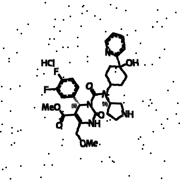 COCC1=C(C(=O)OC)[C@H](c2ccc(F)c(F)c2)N(C(=O)N(C2CCC(O)(c3ccccn3)CC2)[C@@H]2CCNC2)C(=O)N1.Cl